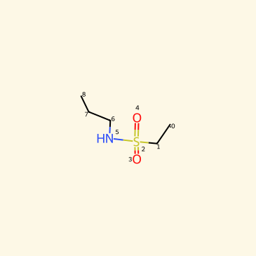 [CH2]CS(=O)(=O)NCCC